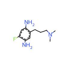 CN(C)CCCc1cc(N)c(F)cc1N